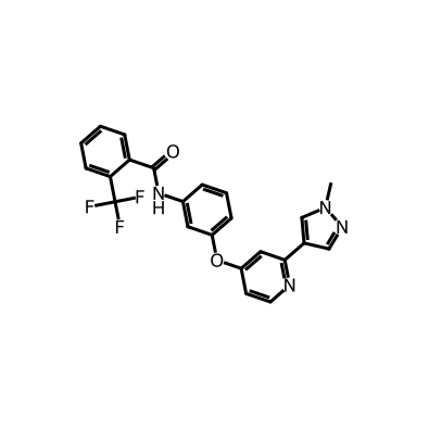 Cn1cc(-c2cc(Oc3cccc(NC(=O)c4ccccc4C(F)(F)F)c3)ccn2)cn1